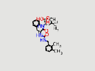 Cc1cccc(CNC(=O)N[C@@H](Cc2ccccc2)C(=O)N[C@@H](CC(C)C)B(O)O)c1C